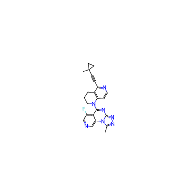 Cc1nnc2nc(N3CCCc4c3ccnc4C#CC3(C)CC3)c3c(F)cncc3n12